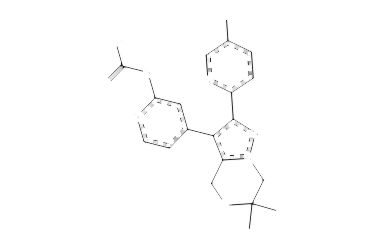 CC(C)C(=O)Nc1cc(-c2c(-c3ccc(F)cn3)nn3c2COC(C)(C)C3)ccn1